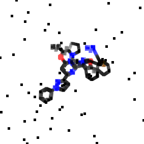 C[C@H](Oc1cc(-c2ccn(-c3ccccc3)n2)nc(-c2noc3c2CCC[C@@]32CCCc3sc(N)c(C#N)c32)n1)[C@@H]1CCCN1C